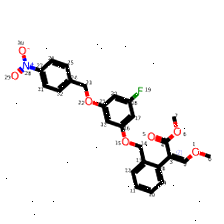 CO/C=C(\C(=O)OC)c1ccccc1COc1cc(F)cc(OCc2ccc([N+](=O)[O-])cc2)c1